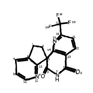 O=C1NC(=O)C2(CCc3cccnc32)c2nc(C(F)(F)F)ccc21